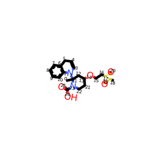 CC1(N2C=CCc3ccccc32)CC(OCCS(C)(=O)=O)CCN1C(=O)O